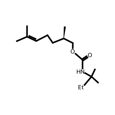 CCC(C)(C)NC(=O)OC[C@H](C)CCC=C(C)C